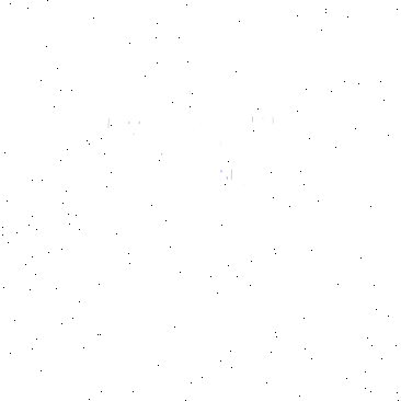 CC(C)(C)OC(=O)C1(C(=O)O)Cc2ccccc2C1N